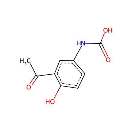 CC(=O)c1cc(NC(=O)O)ccc1O